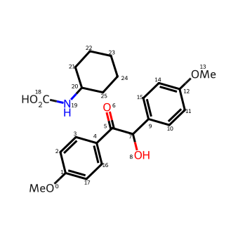 COc1ccc(C(=O)C(O)c2ccc(OC)cc2)cc1.O=C(O)NC1CCCCC1